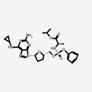 CC(C)OC(=O)[C@@H](C)N[P@](=O)(OC[C@@H]1CC[C@H](n2cnc3c(NC4CC4)nc(N)nc32)O1)Oc1ccccc1